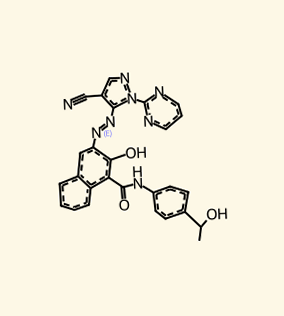 CC(O)c1ccc(NC(=O)c2c(O)c(/N=N/c3c(C#N)cnn3-c3ncccn3)cc3ccccc23)cc1